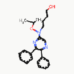 CC(C)ON(CCCCO)c1cnc(-c2ccccc2)c(-c2ccccc2)n1